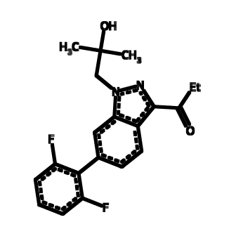 CCC(=O)c1nn(CC(C)(C)O)c2cc(-c3c(F)cccc3F)ccc12